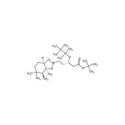 C[C@H]1C(C)(C)CC[C@H]2OB(CC[C@@H](CC(=O)OC(C)(C)C)O[Si](C)(C)C(C)(C)C)O[C@]21C